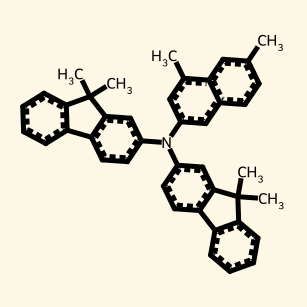 Cc1ccc2cc(N(c3ccc4c(c3)C(C)(C)c3ccccc3-4)c3ccc4c(c3)C(C)(C)c3ccccc3-4)cc(C)c2c1